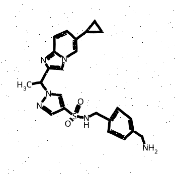 CC(c1cn2cc(C3CC3)ccc2n1)n1cc(S(=O)(=O)NCc2ccc(CN)cc2)cn1